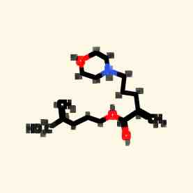 C=C(CCCOC(=O)C(=C)CCCN1CCOCC1)C(=O)O